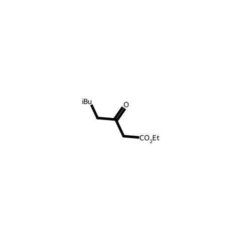 CCOC(=O)CC(=O)CC(C)CC